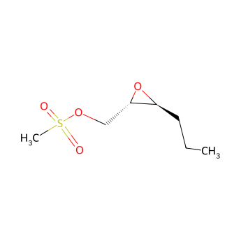 CCC[C@@H]1O[C@H]1COS(C)(=O)=O